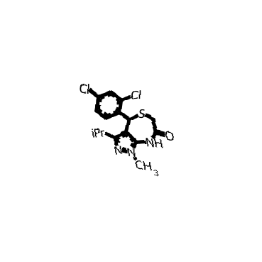 CC(C)c1nn(C)c2c1C(c1ccc(Cl)cc1Cl)SCC(=O)N2